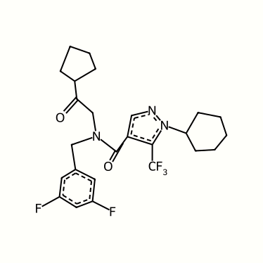 O=C(CN(Cc1cc(F)cc(F)c1)C(=O)c1cnn(C2CCCCC2)c1C(F)(F)F)C1CCCC1